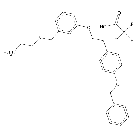 O=C(O)C(F)(F)F.O=C(O)CCNCc1cccc(OCCc2ccc(OCc3ccccc3)cc2)c1